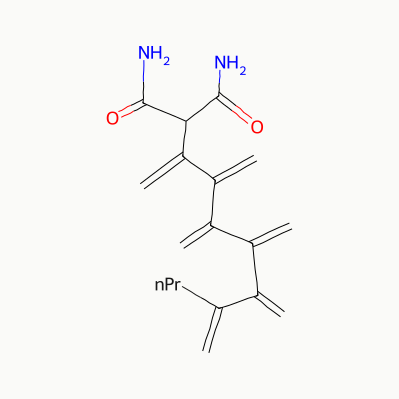 C=C(CCC)C(=C)C(=C)C(=C)C(=C)C(=C)C(C(N)=O)C(N)=O